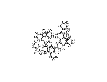 CC1(C)c2ccccc2-c2ccc(-c3ccccc3N(c3ccc(-c4ccccc4-c4cccc5c4C(C)(C)c4ccccc4-5)cc3)c3cccc(-c4cccc5oc6ccccc6c45)c3)cc21